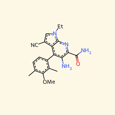 CCn1cc(C#N)c2c(-c3ccc(C)c(OC)c3C)c(N)c(C(N)=O)nc21